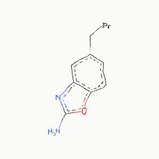 CC(C)Cc1ccc2oc(N)nc2c1